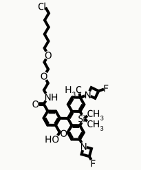 CC1(N2CC(F)C2)C=CC2=C(c3cc(C(=O)NCCOCCOCCCCCCCl)ccc3C(=O)O)c3ccc(N4CC(F)C4)cc3[Si](C)(C)C2=C1